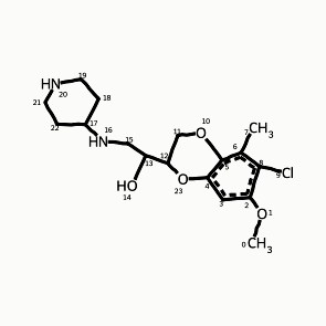 COc1cc2c(c(C)c1Cl)OCC(C(O)CNC1CCNCC1)O2